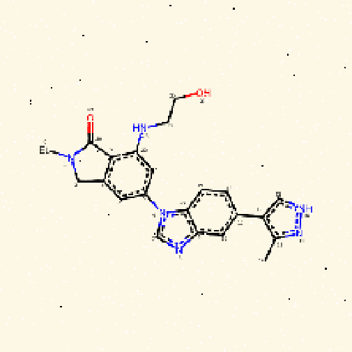 CCN1Cc2cc(-n3cnc4cc(-c5c[nH]nc5C)ccc43)cc(NCCO)c2C1=O